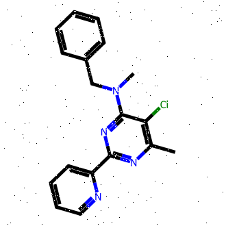 Cc1nc(-c2ccccn2)nc(N(C)Cc2ccccc2)c1Cl